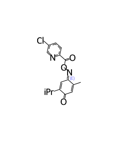 CC1=CC(=O)C(C(C)C)=C/C1=N\OC(=O)c1ccc(Cl)cn1